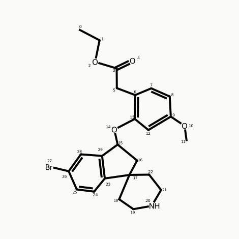 CCOC(=O)Cc1ccc(OC)cc1OC1CC2(CCNCC2)c2ccc(Br)cc21